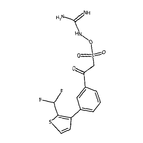 N=C(N)NOS(=O)(=O)CC(=O)c1cccc(-c2ccsc2C(F)F)c1